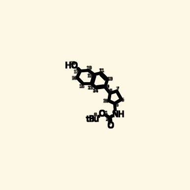 CC(C)(C)OC(=O)NC1CCC(c2ccc3c(c2)CCC(O)C3)C1